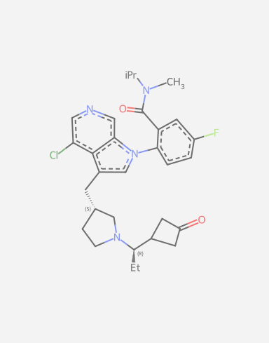 CC[C@H](C1CC(=O)C1)N1CC[C@H](Cc2cn(-c3ccc(F)cc3C(=O)N(C)C(C)C)c3cncc(Cl)c23)C1